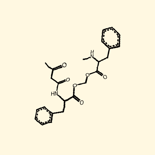 CNC(Cc1ccccc1)C(=O)OCOC(=O)C(Cc1ccccc1)NC(=O)CC(C)=O